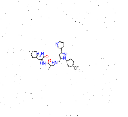 CC(CNCc1cc(-c2cccnc2)nn1-c1ccc(C(F)(F)F)cc1)C(=O)N[C@@H](Cc1ccccc1)C(N)=O